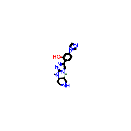 CN(c1ncc(-c2ccc(-n3ccnc3)cc2O)nn1)[C@H]1CCNC[C@@H]1F